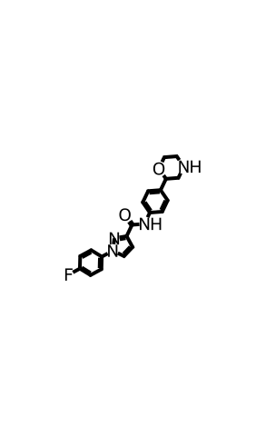 O=C(Nc1ccc(C2CNCCO2)cc1)c1ccn(-c2ccc(F)cc2)n1